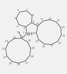 CC1(NC2CCCCCC2C2CCCCCCCCCC2)CCCCCCCCCC1